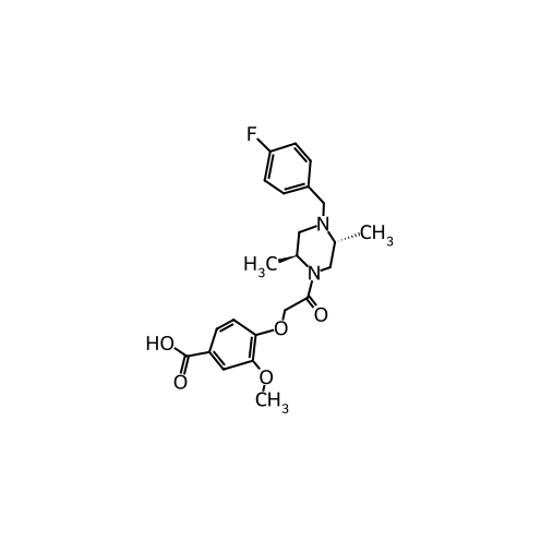 COc1cc(C(=O)O)ccc1OCC(=O)N1C[C@@H](C)N(Cc2ccc(F)cc2)C[C@@H]1C